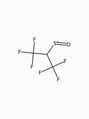 O=[S+]C(C(F)(F)F)C(F)(F)F